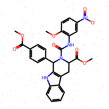 COC(=O)c1ccc(C2c3[nH]c4ccccc4c3CC(C(=O)OC)N2C(=O)Nc2cc([N+](=O)[O-])ccc2OC)cc1